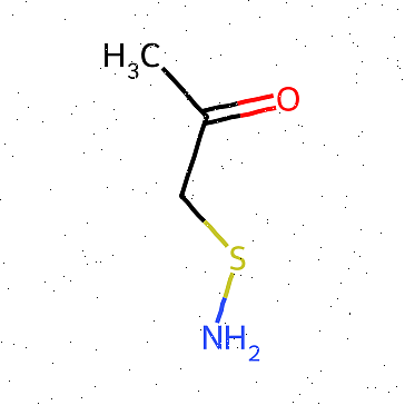 CC(=O)CSN